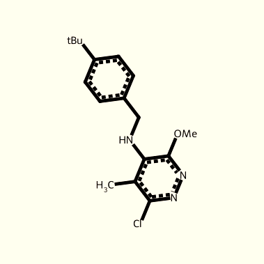 COc1nnc(Cl)c(C)c1NCc1ccc(C(C)(C)C)cc1